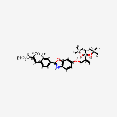 C=C(COc1ccc2nc(-c3ccc(C=C(C(=O)OCC)C(=O)OCC)cc3)oc2c1)[Si](C)(O[Si](C)(C)C)O[Si](C)(C)C